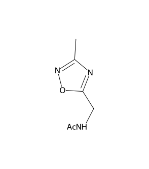 CC(=O)NCc1nc(C)no1